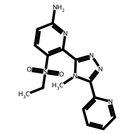 CCS(=O)(=O)c1ccc(N)nc1-c1nnc(-c2ccccn2)n1C